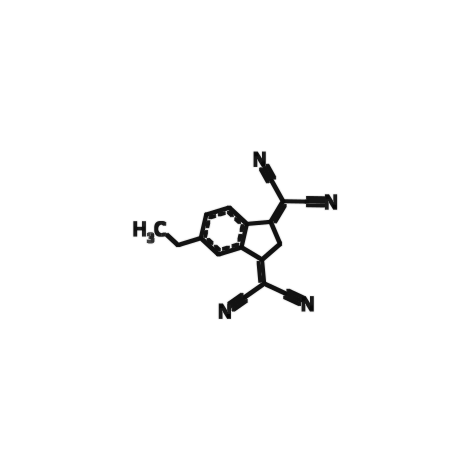 CCc1ccc2c(c1)C(=C(C#N)C#N)CC2=C(C#N)C#N